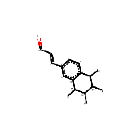 CC1c2ccc(C=CC=O)cc2C(C)C(C)C1C